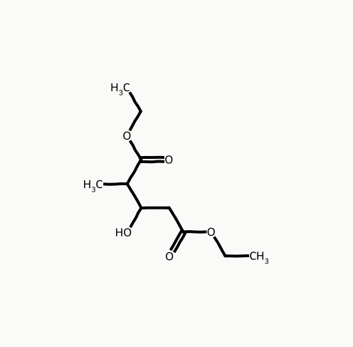 CCOC(=O)CC(O)C(C)C(=O)OCC